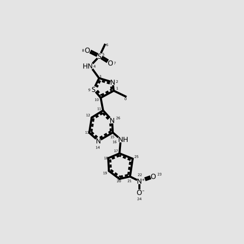 Cc1nc(NS(C)(=O)=O)sc1-c1ccnc(Nc2cccc([N+](=O)[O-])c2)n1